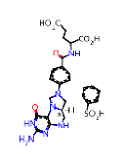 Nc1nc2c(c(=O)[nH]1)N1CN(c3ccc(C(=O)NC(CCC(=O)O)C(=O)O)cc3)C[C@H]1CN2.O=S(=O)(O)c1ccccc1